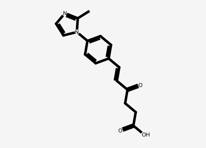 Cc1nccn1-c1ccc(C=CC(=O)CCC(=O)O)cc1